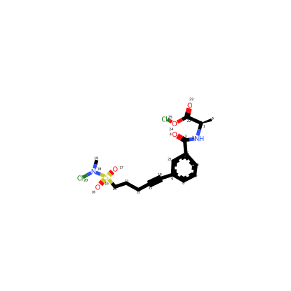 C[C@@H](NC(=O)c1cccc(C#CCCCS(=O)(=O)N(C)Cl)c1)C(=O)OCl